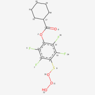 O=C(Oc1c(F)c(F)c(SOOO)c(F)c1F)C1CCCCC1